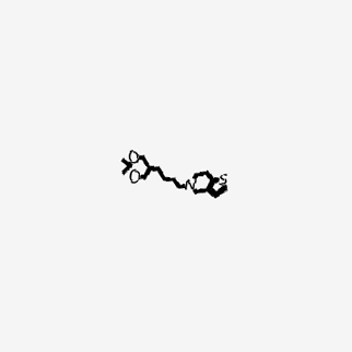 CC1(C)OCC(CCCCN2CCc3sccc3C2)CO1